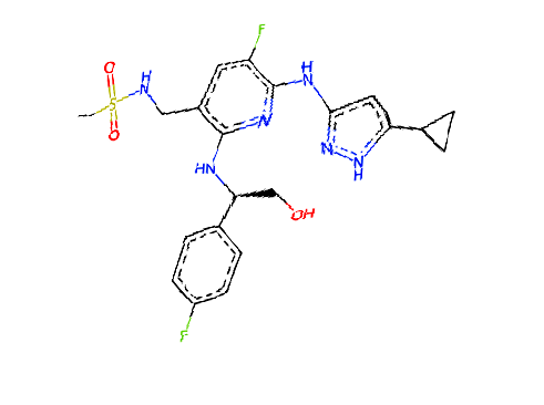 CS(=O)(=O)NCc1cc(F)c(Nc2cc(C3CC3)[nH]n2)nc1N[C@@H](CO)c1ccc(F)cc1